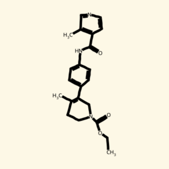 CCOC(=O)N1CCC(C)=C(c2ccc(NC(=O)c3ccncc3C)cc2)C1